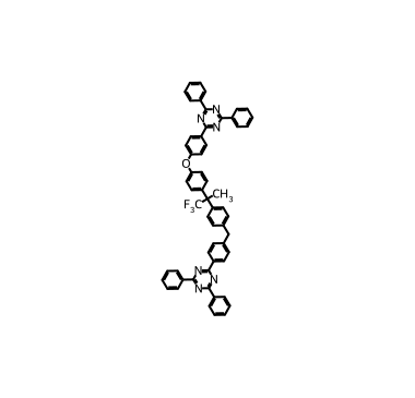 CC(c1ccc(Cc2ccc(-c3nc(-c4ccccc4)nc(-c4ccccc4)n3)cc2)cc1)(c1ccc(Oc2ccc(-c3nc(-c4ccccc4)nc(-c4ccccc4)n3)cc2)cc1)C(F)(F)F